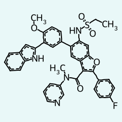 CCS(=O)(=O)Nc1cc2oc(-c3ccc(F)cc3)c(C(=O)N(C)c3cccnc3)c2cc1-c1ccc(OC)c(-c2cc3ccccc3[nH]2)c1